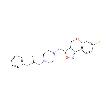 C/C(=C\c1ccccc1)CN1CCN(CC2ON=C3c4ccc(F)cc4OCC32)CC1